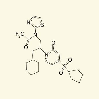 O=C(N(CC(CC1CCCCC1)n1ccc(S(=O)(=O)C2CCCC2)cc1=O)c1nccs1)C(F)(F)F